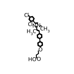 CCn1cc(-c2ccc(Cl)cc2Cl)nc1/C(C)=C/c1ccc(-c2ccc(OCCCC(=O)O)cc2)cc1